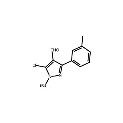 Cc1cccc(-c2nn(C(C)(C)C)c(Cl)c2C=O)c1